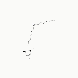 CCCCCCCC/C=C\CCCCCCCCn1c(=O)cc(C)[nH]c1=S